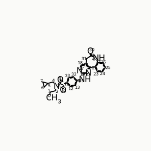 CCCN(CC1CC1)S(=O)(=O)c1ccc(Nc2ncc3c(n2)-c2ccccc2NC(=O)C3)cc1